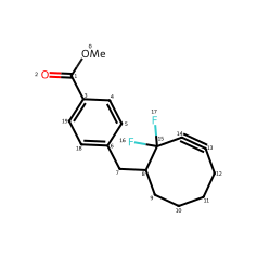 COC(=O)c1ccc(CC2CCCCC#CC2(F)F)cc1